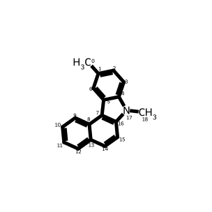 Cc1ccc2c(c1)c1c3ccccc3ccc1n2C